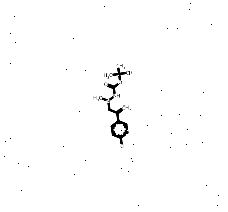 C=C(CN(C)NC(=O)OC(C)(C)C)c1ccc(Cl)cc1